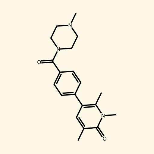 Cc1cc(-c2ccc(C(=O)N3CCN(C)CC3)cc2)c(C)n(C)c1=O